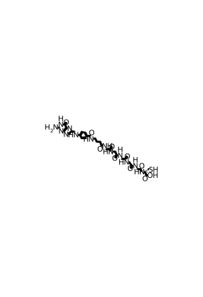 Nc1nc2ncc(CNc3ccc(C(=O)NCCCC(=O)NCC(=O)NCC(=O)NCC(=O)NCC(=O)NCC(=O)N[C@H](CS)C(=O)O)cc3)nc2c(=O)[nH]1